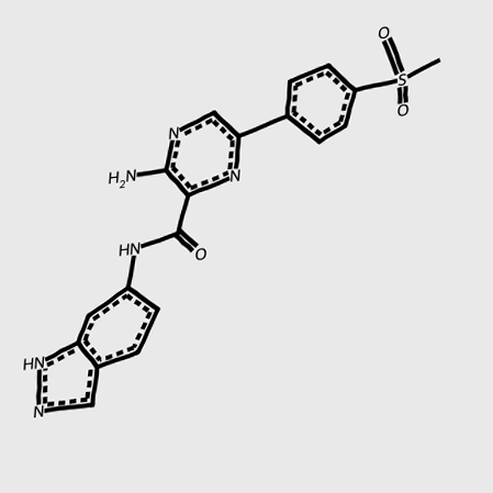 CS(=O)(=O)c1ccc(-c2cnc(N)c(C(=O)Nc3ccc4cn[nH]c4c3)n2)cc1